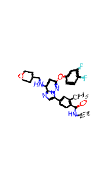 CCNC(=O)c1ccc(-c2cnc3c(NCC4CCOCC4)cc(Oc4ccc(F)c(F)c4)nn23)cc1C